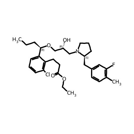 CCC[C@@H](OC[C@H](O)CN1CCC[C@H]1Cc1ccc(C)c(F)c1)c1cccc(Cl)c1CCC(=O)OCC